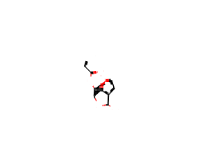 C=CC(=O)Oc1c2c3oc1cc3C(O)O2